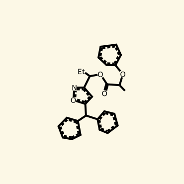 CCC(OC(=O)C(C)Oc1ccccc1)c1cc(C(c2ccccc2)c2ccccc2)on1